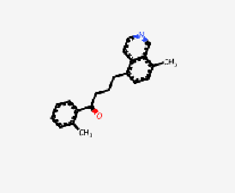 Cc1ccccc1C(=O)CCCc1ccc(C)c2cnccc12